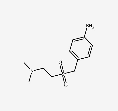 Bc1ccc(CS(=O)(=O)CCN(C)C)cc1